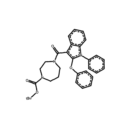 CC(C)(C)OC(=O)N1CCCN(C(=O)c2c(Oc3ccccc3)n(-c3ccccc3)c3ccccc23)CC1